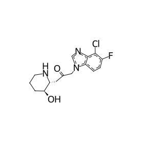 O=C(C[C@H]1NCCC[C@@H]1O)Cn1cnc2c(Cl)c(F)ccc21